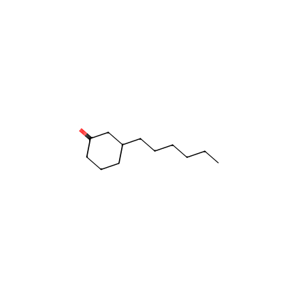 CCCCCCC1CCCC(=O)C1